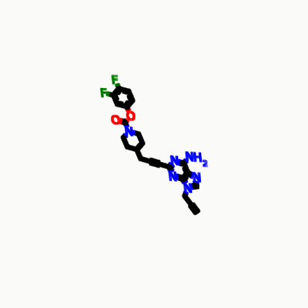 C#CCn1cnc2c(N)nc(C#CCC3CCN(C(=O)Oc4ccc(F)c(F)c4)CC3)nc21